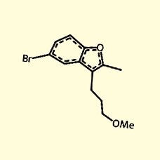 COCCCc1c(C)oc2ccc(Br)cc12